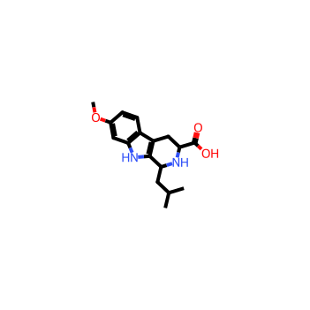 COc1ccc2c3c([nH]c2c1)C(CC(C)C)NC(C(=O)O)C3